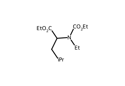 CCOC(=O)C(CC(C)C)N(CC)C(=O)OCC